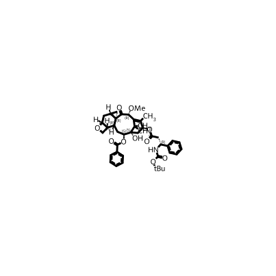 CO[C@H]1C(=O)[C@]23C[C@H]2C[C@H]2OC[C@H]2[C@H]3C[C@H](OC(=O)c2ccccc2)[C@]2(O)C[C@H](OC(=O)C[C@@H](NC(=O)OC(C)(C)C)c3ccccc3)C(C)=C1C2(C)C